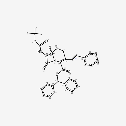 CC(C)(C)OC(=O)N[C@@H]1C(=O)N2C(C(=O)OC(c3ccccc3)c3ccccc3)=C(/C=C/c3ccncc3)CS[C@@H]12